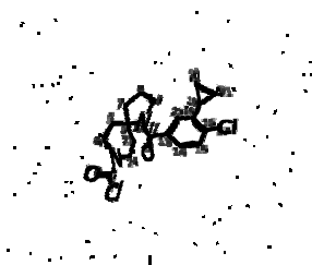 O=C(Cl)N1CCC2(CCCN2C(=O)c2ccc(Cl)c(C3CC3)c2)CC1